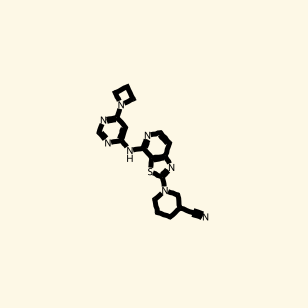 N#CC1CCCN(c2nc3ccnc(Nc4cc(N5CCC5)ncn4)c3s2)C1